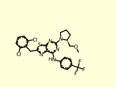 COC[C@@H]1CCCN1c1nc(Nc2ccc(C(F)(F)F)cc2)c2nc(Cc3c(Cl)cccc3Cl)sc2n1